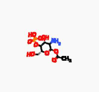 CC(=O)OC1O[C@H](CO)[C@@H](OP(=O)(O)O)[C@H](O)[C@H]1N